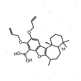 C=CCOc1cc2c3c(oc2c(B(O)O)c1OCC=C)C(C)CC[C@@H]1C(C)(C)CCC[C@@]31C